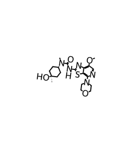 COc1cnc(N2CCOCC2)c2sc(NC(=O)N(C)[C@H]3CC[C@](C)(O)CC3)nc12